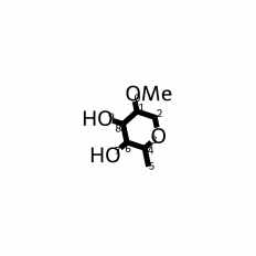 COC1COC(C)C(O)C1O